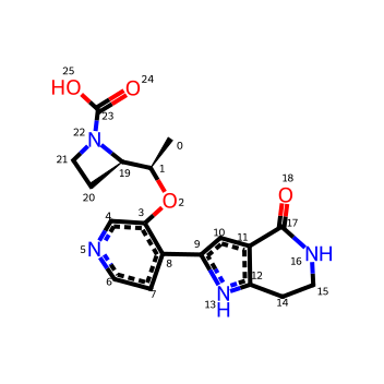 C[C@@H](Oc1cnccc1-c1cc2c([nH]1)CCNC2=O)[C@H]1CCN1C(=O)O